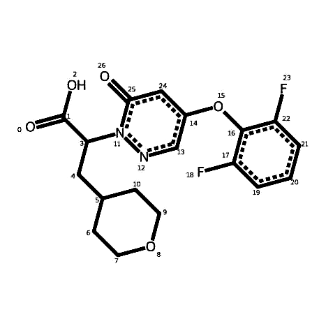 O=C(O)C(CC1CCOCC1)n1ncc(Oc2c(F)cccc2F)cc1=O